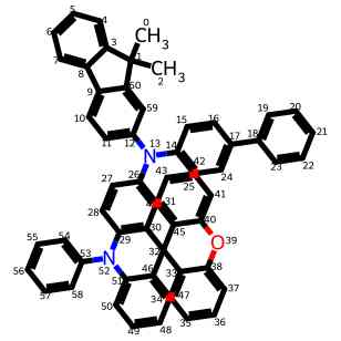 CC1(C)c2ccccc2-c2ccc(N(c3ccc(-c4ccccc4)cc3)c3ccc4c(c3)C3(c5ccccc5Oc5ccccc53)c3ccccc3N4c3ccccc3)cc21